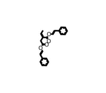 CC=C(CC(=O)OC=Cc1ccccc1)C(=O)OC=Cc1ccccc1